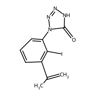 C=C(C)c1cccc(-n2nn[nH]c2=O)c1I